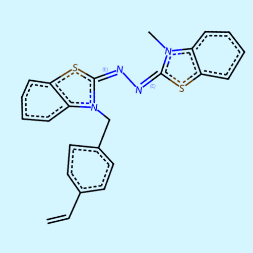 C=Cc1ccc(Cn2/c(=N\N=c3\sc4ccccc4n3C)sc3ccccc32)cc1